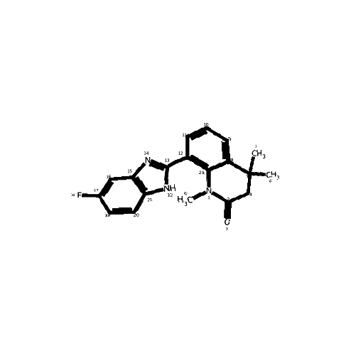 CN1C(=O)CC(C)(C)c2cccc(-c3nc4cc(F)ccc4[nH]3)c21